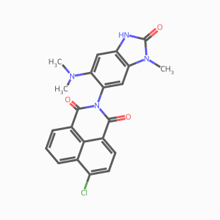 CN(C)c1cc2[nH]c(=O)n(C)c2cc1N1C(=O)c2cccc3c(Cl)ccc(c23)C1=O